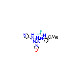 COc1cccc2c1nc(C(F)F)n2-c1nc(NCc2ccncc2)nc(N2CCOCC2)n1